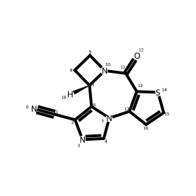 N#Cc1ncn2c1[C@@H]1CCN1C(=O)c1sccc1-2